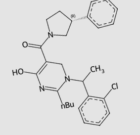 CCCCC1=NC(O)=C(C(=O)N2CC[C@H](c3ccccc3)C2)CN1C(C)c1ccccc1Cl